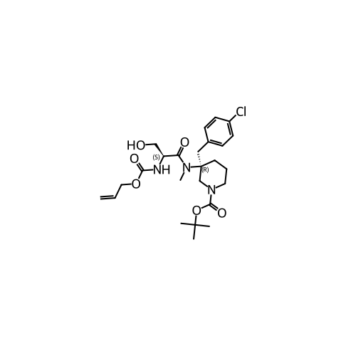 C=CCOC(=O)N[C@@H](CO)C(=O)N(C)[C@@]1(Cc2ccc(Cl)cc2)CCCN(C(=O)OC(C)(C)C)C1